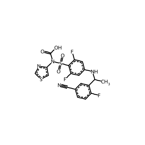 CC(Nc1cc(F)c(S(=O)(=O)N(C(=O)O)c2cscn2)c(F)c1)c1cc(C#N)ccc1F